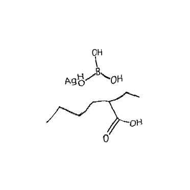 CCCCC(CC)C(=O)O.OB(O)O.[Ag]